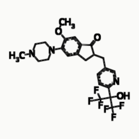 COc1cc2c(cc1N1CCN(C)CC1)CC(Cc1ccc(C(O)(C(F)(F)F)C(F)(F)F)nc1)C2=O